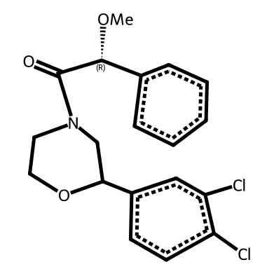 CO[C@@H](C(=O)N1CCOC(c2ccc(Cl)c(Cl)c2)C1)c1ccccc1